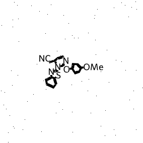 COc1ccc(OC2=NC=CC(CC#N)N2c2nc3ccccc3s2)cc1